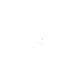 O=CCn1nc(C(F)F)cc1C(F)F